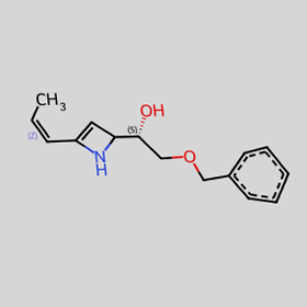 C/C=C\C1=CC([C@H](O)COCc2ccccc2)N1